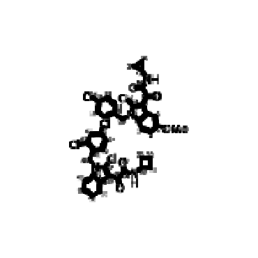 COc1ccc2c(c1)c(C(=O)C(=O)NC1CC1)c(Cl)n2Cc1ccc(Cl)cc1.O=C(NC1CCC1)C(=O)c1c(Cl)n(Cc2ccc(Cl)cc2Cl)c2ccccc12